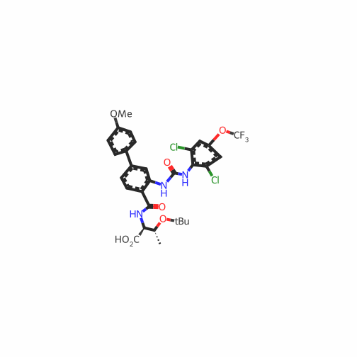 COc1ccc(-c2ccc(C(=O)N[C@H](C(=O)O)[C@@H](C)OC(C)(C)C)c(NC(=O)Nc3c(Cl)cc(OC(F)(F)F)cc3Cl)c2)cc1